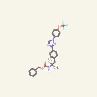 CC(C)(Cc1ccc(-c2ncn(-c3ccc(OC(F)(F)F)cc3)n2)cc1)NC(=O)OCc1ccccc1